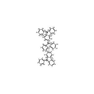 c1ccc(-n2c3ccccc3c3ccc(-c4cccc5c4c4ccccc4n5-c4cc5c6ccccc6n6c7ccccc7c(c4)c56)cc32)cc1